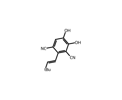 CC(C)(C)C=Cc1c(C#N)cc(O)c(O)c1C#N